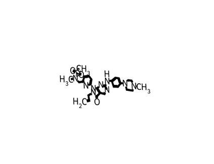 C=CCn1c(=O)c2cnc(Nc3ccc(N4CCN(C)CC4)cc3)nc2n1-c1cccc(CN(C)S(C)(=O)=O)n1